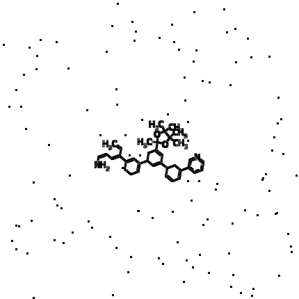 C=C/C(=C\C=C/N)C1=CC(C2C=C(C3C=CC=C(c4cccnc4)C3)C=C(C3(C)OC(C)(C)C(C)(C)O3)C2)=CCC1